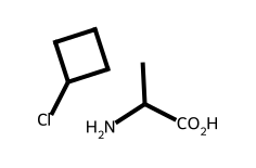 CC(N)C(=O)O.ClC1CCC1